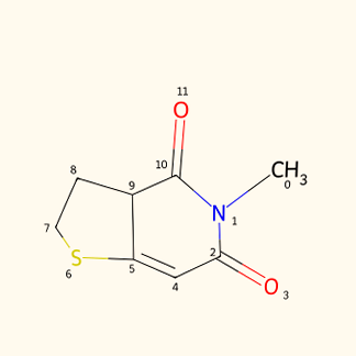 CN1C(=O)C=C2SCCC2C1=O